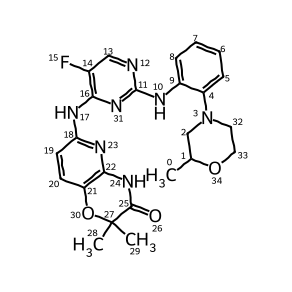 CC1CN(c2ccccc2Nc2ncc(F)c(Nc3ccc4c(n3)NC(=O)C(C)(C)O4)n2)CCO1